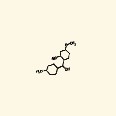 COC1CCC(C(O)C2CCC(C)CC2)C(O)C1